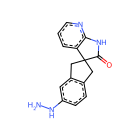 NNc1ccc2c(c1)CC1(C2)C(=O)Nc2ncccc21